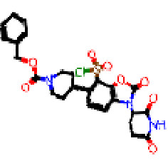 O=C1CCC(n2c(=O)oc3c(S(=O)(=O)Cl)c(C4CCN(C(=O)OCc5ccccc5)CC4)ccc32)C(=O)N1